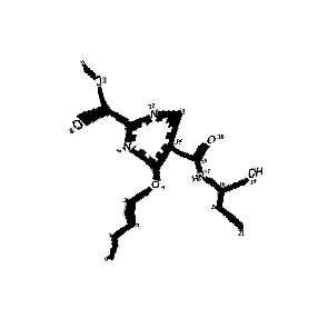 CCCCOc1nc(C(=O)OC)ncc1C(=O)NC(O)CC